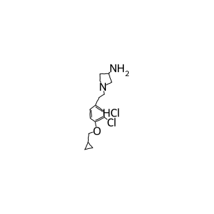 Cl.N[C@@H]1CCN(CCc2ccc(OCC3CC3)c(Cl)c2)C1